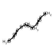 C=CC(=O)OCCCCCCOc1ccc(C(=O)Oc2ccc(C3CCC(OCCCCCCOC(=O)CCCCCOC(C)C(=O)CCC(=O)OCCCCCC(=O)C(C)OCCCCCCOC4CCC(c5ccc(OC(=O)c6ccc(OCCCCCCOC(=O)C=C)cc6)cc5)CC4)CC3)cc2)cc1